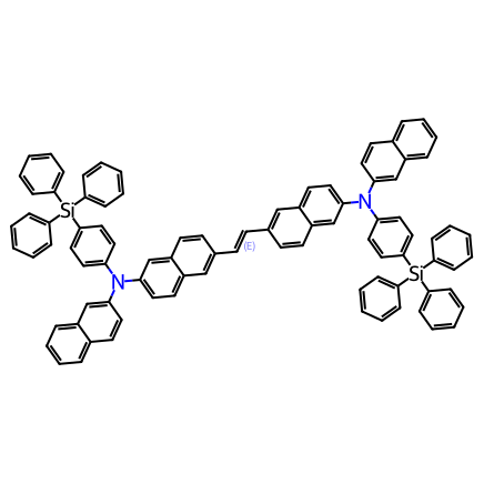 C(=C\c1ccc2cc(N(c3ccc([Si](c4ccccc4)(c4ccccc4)c4ccccc4)cc3)c3ccc4ccccc4c3)ccc2c1)/c1ccc2cc(N(c3ccc([Si](c4ccccc4)(c4ccccc4)c4ccccc4)cc3)c3ccc4ccccc4c3)ccc2c1